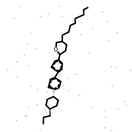 CCCCCCCCC1CCC(c2ccc(-c3ccc([C@H]4CC[C@H](CCC)CC4)cc3)cc2)OC1